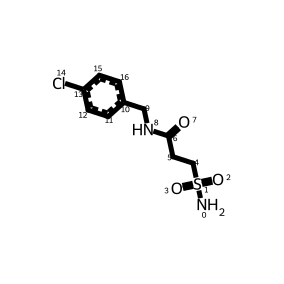 NS(=O)(=O)CCC(=O)NCc1ccc(Cl)cc1